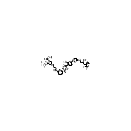 CC1(C)C[C@H](CCCNc2cccc(S(=O)(=O)NC(=O)c3ccc(-n4ccc(OC[C@H](O)CC5(C(F)(F)F)CC5)n4)nc3Cl)n2)CN1C(=O)O